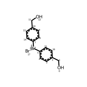 OCc1cc[c]([Bi+][c]2ccc(CO)cc2)cc1.[Br-]